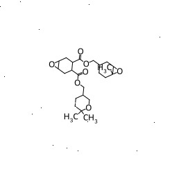 CC1(C)CCC(COC(=O)C2CC3OC3CC2C(=O)OCC2CCC3(C)OC3C2)CO1